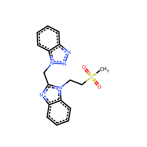 CS(=O)(=O)CCn1c(Cn2nnc3ccccc32)nc2ccccc21